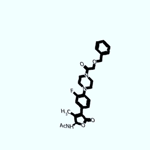 CC(=O)N[C@@H]1OC(=O)C(c2ccc(N3CCN(C(=O)COCc4ccccc4)CC3)c(F)c2)=C1C